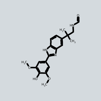 COc1cc(-c2nc3cc(C(C)(C)CNC=O)ccc3[nH]2)cc(OC)c1O